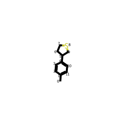 Cc1ccc(C2CCSC2)cc1